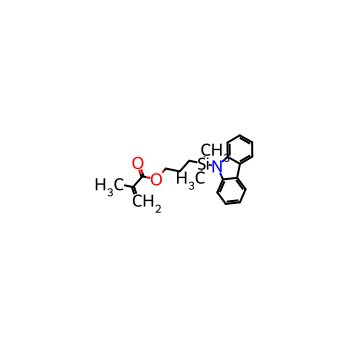 C=C(C)C(=O)OCCC[Si](C)(C)n1c2ccccc2c2ccccc21